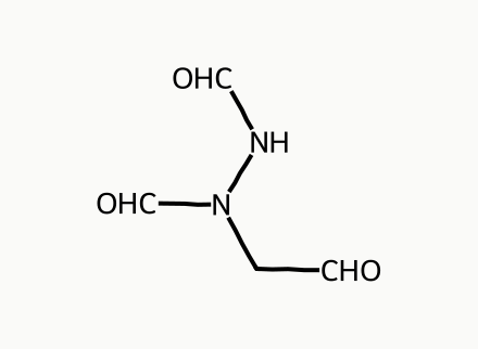 O=CCN(C=O)NC=O